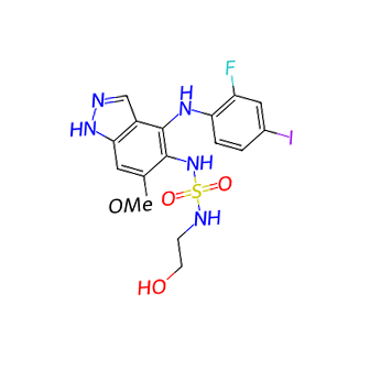 COc1cc2[nH]ncc2c(Nc2ccc(I)cc2F)c1NS(=O)(=O)NCCO